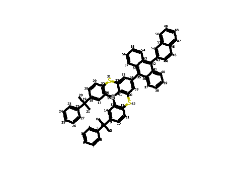 CC(C)(c1ccccc1)c1ccc2c(c1)B1c3cc(C(C)(C)c4ccccc4)ccc3Sc3cc(-c4c5ccccc5c(-c5ccc6ccccc6c5)c5ccccc45)cc(c31)S2